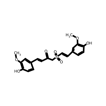 COc1cc(C=CC(=O)CS(=O)(=O)/C=C/c2ccc(O)c(OC)c2)ccc1O